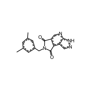 Cc1cc(C)cc(CN2C(=O)c3cnc4[nH]ncc4c3C2=O)c1